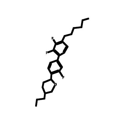 CCCCCCc1ccc(-c2ccc(C3CCC(CCC)CO3)c(F)c2)c(F)c1F